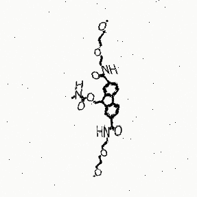 CNC(=O)OCC1c2cc(C(=O)NCCOCCCOC)ccc2-c2ccc(C(=O)NCCOCCCOC)cc21